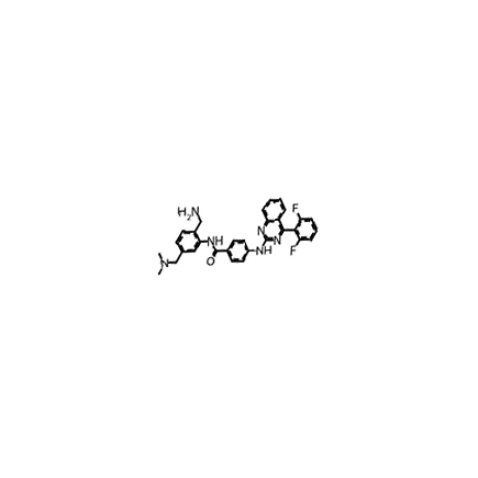 CN(C)Cc1ccc(CN)c(NC(=O)c2ccc(Nc3nc(-c4c(F)cccc4F)c4ccccc4n3)cc2)c1